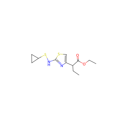 CCOC(=O)C(CC)c1csc(NSC2CC2)n1